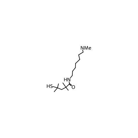 CNCCCCCCCNC(=O)C(C)(C)CC(C)(C)S